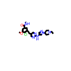 CCN1CCC(n2cc(Nc3ncc(CCc4cc(C(=O)NC)cc(OC)c4Cl)cn3)cn2)CC1